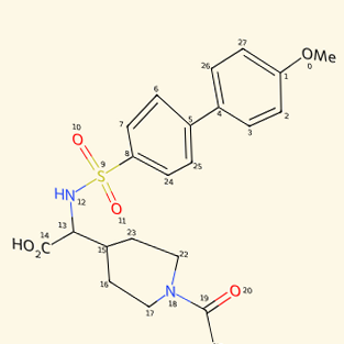 COc1ccc(-c2ccc(S(=O)(=O)NC(C(=O)O)C3CCN(C(=O)C(C)C)CC3)cc2)cc1